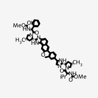 COC(=O)N[C@H](C(=O)N1C[C@@H](C)C[C@H]1c1ncc(-c2ccc3c(c2)COc2cc4c(ccc5nc([C@@H]6C[C@H](C)CN6C(=O)[C@H](NC(O)OC)c6ccccc6)[nH]c54)cc2-3)[nH]1)C(C)C